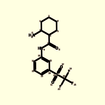 NC1CCCCC1C(=O)Nc1cccc(S(=O)(=O)C(F)(F)F)c1